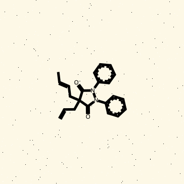 C=CCC1(CC=CC)C(=O)N(c2ccccc2)N(c2ccccc2)C1=O